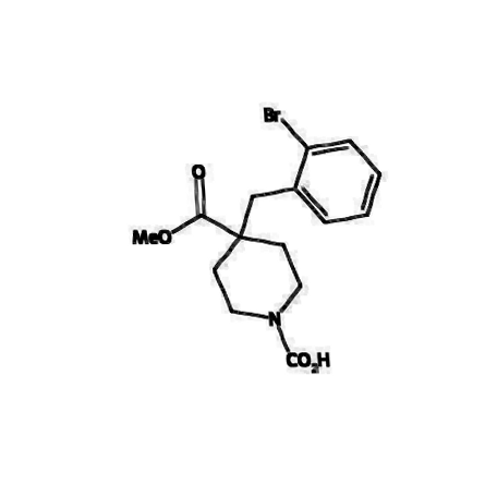 COC(=O)C1(Cc2ccccc2Br)CCN(C(=O)O)CC1